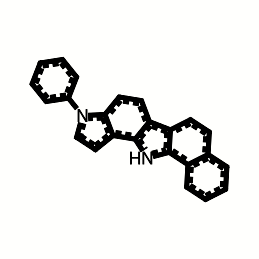 c1ccc(-n2ccc3c4[nH]c5c6ccccc6ccc5c4ccc32)cc1